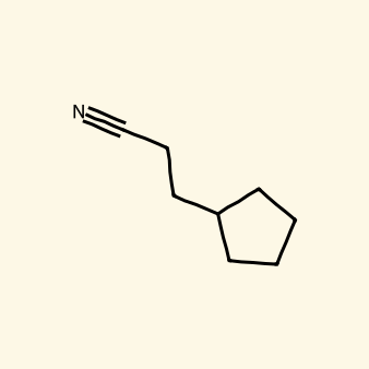 N#CCCC1CCCC1